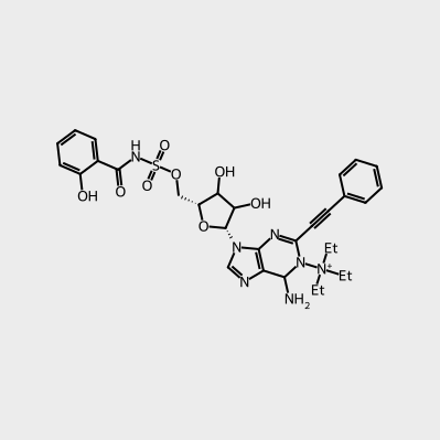 CC[N+](CC)(CC)N1C(C#Cc2ccccc2)=Nc2c(ncn2[C@@H]2O[C@H](COS(=O)(=O)NC(=O)c3ccccc3O)C(O)C2O)C1N